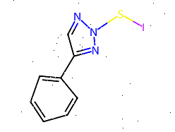 ISn1ncc(-c2ccccc2)n1